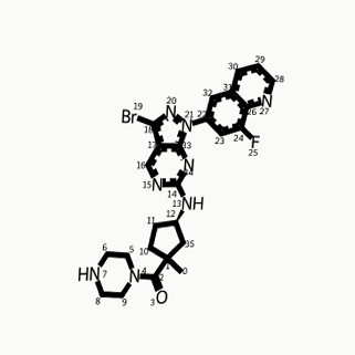 CC1(C(=O)N2CCNCC2)CC[C@@H](Nc2ncc3c(Br)nn(-c4cc(F)c5ncccc5c4)c3n2)C1